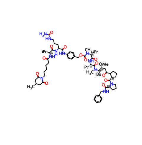 CCC(C)[C@@H]([C@@H](CC(=O)C1CCC[C@H]1C(=O)N1CCC[C@H]1C(=O)NCc1ccccc1)OC)N(C)C(=O)[C@@H](NC(=O)[C@H](C(C)C)N(C)C(=O)OCc1ccc(NC(=O)C(CCCNC(N)=O)NC(=O)[C@@H](NC(=O)CCCCCN2C(=O)CC(C)CC2=O)C(C)C)cc1)C(C)C